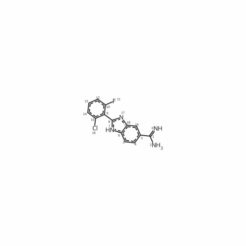 N=C(N)c1ccc2[nH]c(-c3c(F)cccc3Cl)nc2c1